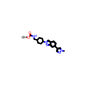 Cn1cc(-c2ccc3cn(C4CCC(CNC(=O)OC(C)(C)C)CC4)nc3c2)cn1